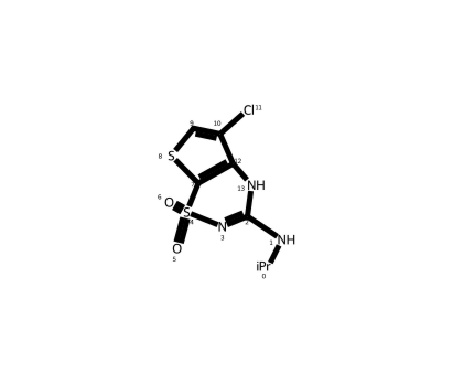 CC(C)NC1=NS(=O)(=O)c2scc(Cl)c2N1